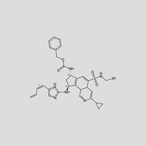 C=C/C=C\c1cnc(N[C@H]2C[C@H](NC(=O)OCc3ccccc3)C3=C2C2C=NC(C4CC4)=CC2C(S(=O)(=O)NCC(C)C)=C3)[nH]1